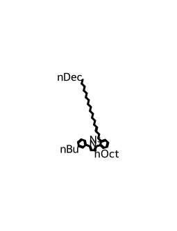 CCCCCCCCCCCCCCCCCCCCCCCCC=CCCc1ccccc1C1=C(CCCCCCCC)C=C(c2cccc(CCCC)c2)[N+]1=[N-]